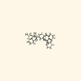 CC(NC(=O)c1ccc2c(c1)N=C(N1CCCCC1)c1ccccc1S2)c1ccccc1